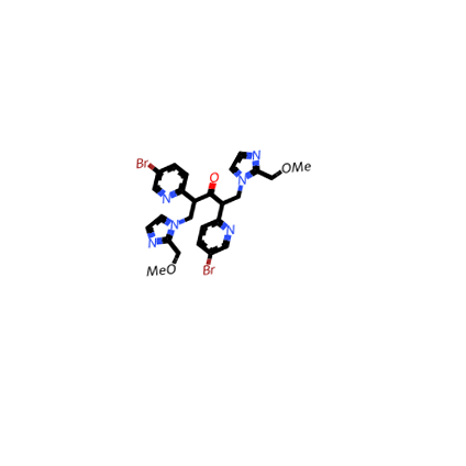 COCc1nccn1CC(C(=O)C(Cn1ccnc1COC)c1ccc(Br)cn1)c1ccc(Br)cn1